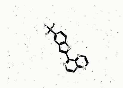 FC(F)(F)c1ccc2sc(-c3nccc4nccnc34)cc2c1